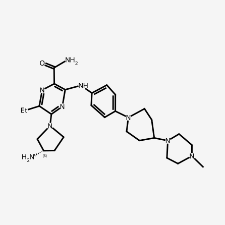 CCc1nc(C(N)=O)c(Nc2ccc(N3CCC(N4CCN(C)CC4)CC3)cc2)nc1N1CC[C@H](N)C1